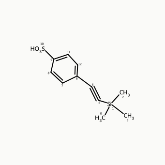 C[Si](C)(C)C#Cc1ccc(S(=O)(=O)O)cc1